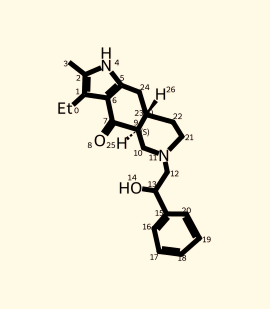 CCc1c(C)[nH]c2c1C(=O)[C@@H]1CN(CC(O)c3ccccc3)CC[C@H]1C2